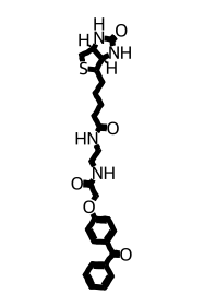 O=C(CCCCC1SC[C@H]2NC(=O)N[C@@H]12)NCCNC(=O)COc1ccc(C(=O)c2ccccc2)cc1